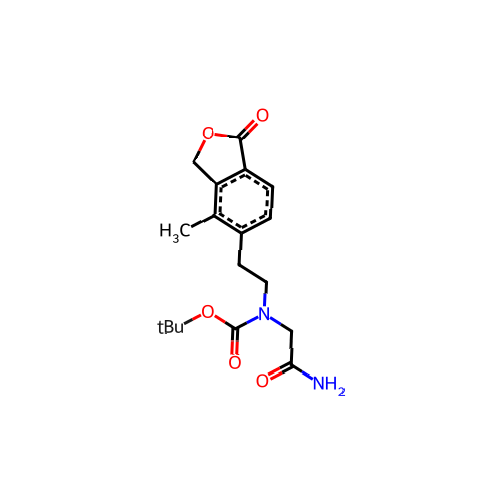 Cc1c(CCN(CC(N)=O)C(=O)OC(C)(C)C)ccc2c1COC2=O